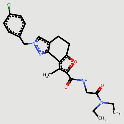 CCN(CC)C(=O)CNC(=O)c1oc2c(c1C)-c1nn(Cc3ccc(Cl)cc3)cc1CC2